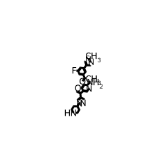 CC(Oc1c(N)ncc2c(-c3cnn(C4CCNCC4)c3)coc12)c1cc(F)cc(-c2cnn(C)c2)c1